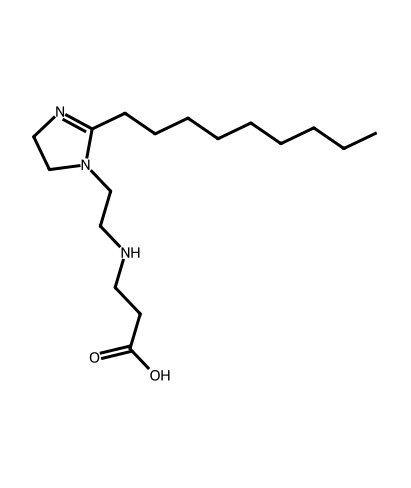 CCCCCCCCCC1=NCCN1CCNCCC(=O)O